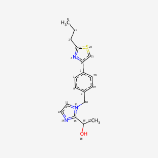 CCCc1nc(-c2ccc(Cn3ccnc3C(C)O)cc2)cs1